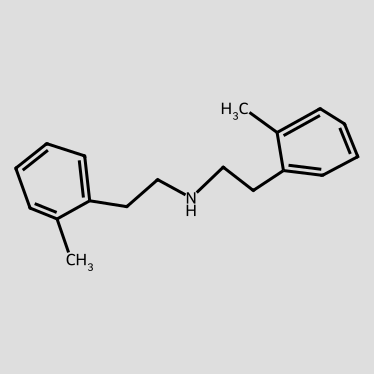 Cc1ccccc1CCNCCc1ccccc1C